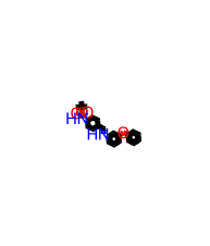 CC(C)(C)S(=O)(=O)NC1CCC(CNc2cccc(Oc3ccccc3)c2)CC1